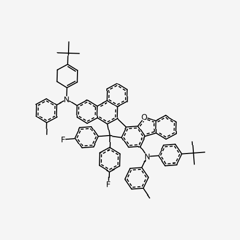 Cc1cccc(N(C2=CC=C(C(C)(C)C)CC2)c2ccc3c4c(c5ccccc5c3c2)-c2c(cc(N(c3ccc(C(C)(C)C)cc3)c3cccc(C)c3)c3c2oc2ccccc23)C4(c2ccc(F)cc2)c2ccc(F)cc2)c1